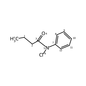 CCCC(=O)N(Cl)c1ccccc1